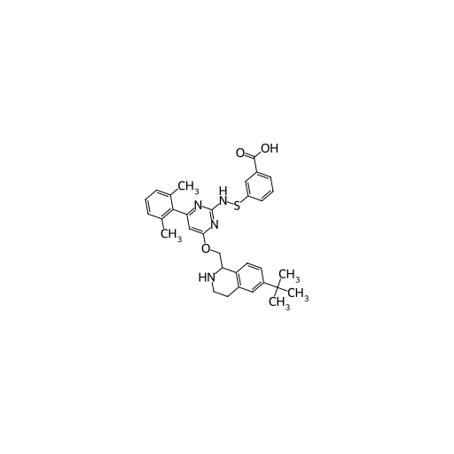 Cc1cccc(C)c1-c1cc(OCC2NCCc3cc(C(C)(C)C)ccc32)nc(NSc2cccc(C(=O)O)c2)n1